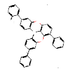 Cc1ccccc1-c1ccc2c(c1)Oc1ccc(-c3ccccc3)c3c1B2c1ccc(-c2ccccc2)cc1O3